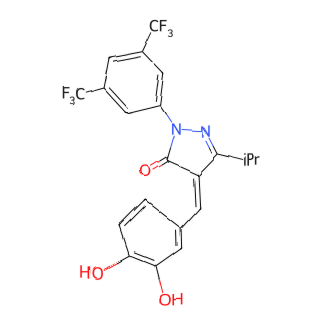 CC(C)C1=NN(c2cc(C(F)(F)F)cc(C(F)(F)F)c2)C(=O)C1=Cc1ccc(O)c(O)c1